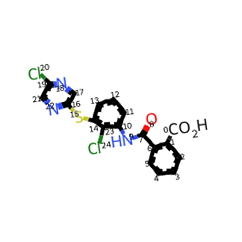 O=C(O)c1ccccc1C(=O)Nc1cccc(Sc2cnc(Cl)cn2)c1Cl